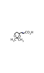 CC1(C)OCCC(/C=C/C(=O)O)O1